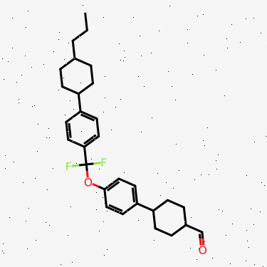 CCCC1CCC(c2ccc(C(F)(F)Oc3ccc(C4CCC(C=O)CC4)cc3)cc2)CC1